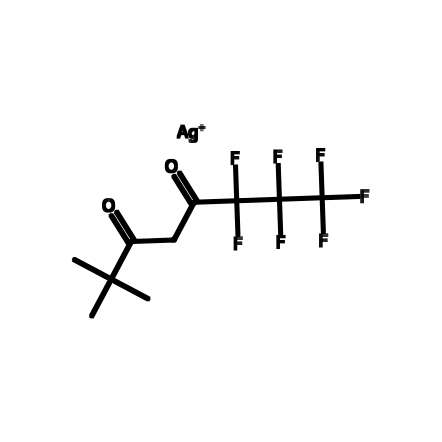 CC(C)(C)C(=O)CC(=O)C(F)(F)C(F)(F)C(F)(F)F.[Ag+]